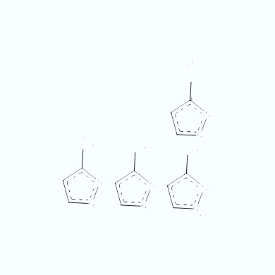 O=C([O-])c1cc[nH]n1.O=C([O-])c1cc[nH]n1.O=C([O-])c1cc[nH]n1.O=C([O-])c1cc[nH]n1.[Ti+4]